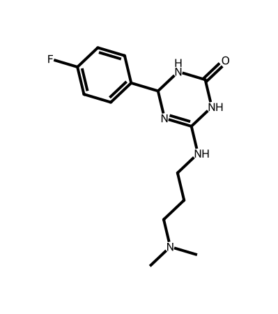 CN(C)CCCNC1=NC(c2ccc(F)cc2)NC(=O)N1